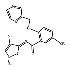 CCCCc1cn(C(C)(C)C)sc1=NC(=O)c1cc(C(F)(F)F)ccc1OCc1cnccn1